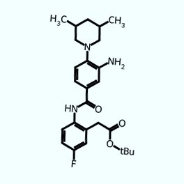 CC1CC(C)CN(c2ccc(C(=O)Nc3ccc(F)cc3CC(=O)OC(C)(C)C)cc2N)C1